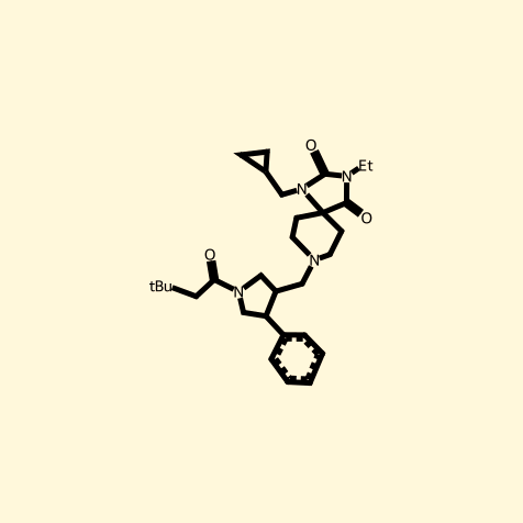 CCN1C(=O)N(CC2CC2)C2(CCN(CC3CN(C(=O)CC(C)(C)C)CC3c3ccccc3)CC2)C1=O